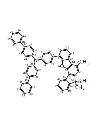 Cc1cc2c(c3oc4c(-c5ccc(N(c6ccc(-c7ccccc7)cc6)c6ccc(-c7ccccc7)cc6)cc5)cccc4c13)-c1ccccc1C2(C)C